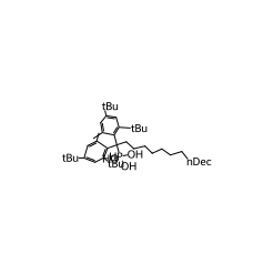 CCCCCCCCCCCCCCCCCC(c1c(C)cc(C(C)(C)C)cc1C(C)(C)C)(c1c(C)cc(C(C)(C)C)cc1C(C)(C)C)[PH](O)(O)O